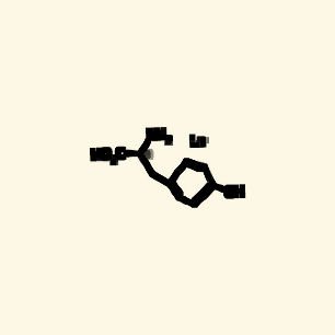 N[C@@H](Cc1ccc(O)cc1)C(=O)O.[La]